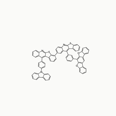 c1cc(-c2c3oc4ccccc4c3cc3c2oc2ccccc23)cc(-c2c3cc(-c4cccc5c4sc4nc6ccccc6c(-c6ccc(-n7c8ccccc8c8ccccc87)cc6)c45)ccc3nc3sc4ccccc4c23)c1